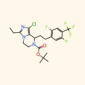 CCc1nc(Cl)c2n1CCN(C(=O)OC(C)(C)C)C2CCc1cc(F)c(C(F)(F)F)cc1F